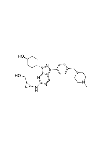 CN1CCN(Cc2ccc(-c3nn([C@H]4CC[C@H](O)CC4)c4nc(NC5CC5CO)ncc34)cc2)CC1